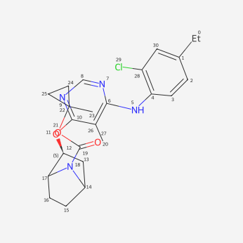 CCc1ccc(Nc2ncnc(O[C@H]3CC4CCC3N4C(=O)OC3(C)CC3)c2C)c(Cl)c1